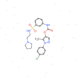 O=C(Nc1cccc(S(=O)(=O)NCCN2CCCC2)c1)Oc1cnn(-c2ccc(Cl)cc2)c1C(F)(F)F